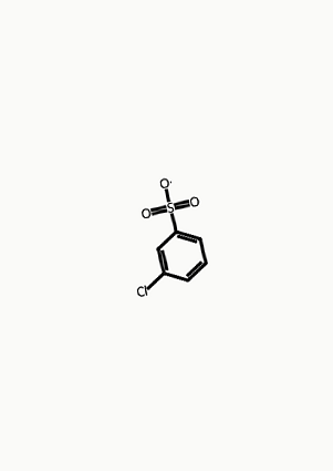 [O]S(=O)(=O)c1cccc(Cl)c1